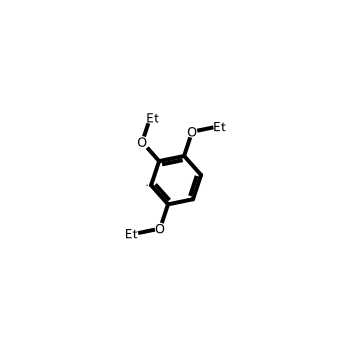 CCOc1[c]c(OCC)c(OCC)cc1